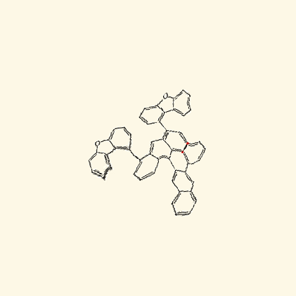 c1ccc(-c2cc3ccccc3cc2-c2c3cccc(-c4cccc5oc6ccccc6c45)c3cc3c(-c4cccc5oc6ccccc6c45)cccc23)cc1